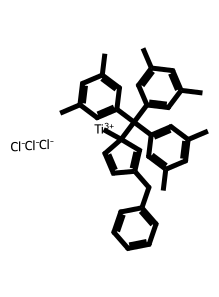 Cc1cc(C)cc(C(c2cc(C)cc(C)c2)(c2cc(C)cc(C)c2)[C]2([Ti+3])C=CC(Cc3ccccc3)=C2)c1.[Cl-].[Cl-].[Cl-]